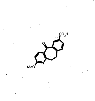 COc1ccc2c(n1)CCc1ccc(C(=O)O)cc1C2=O